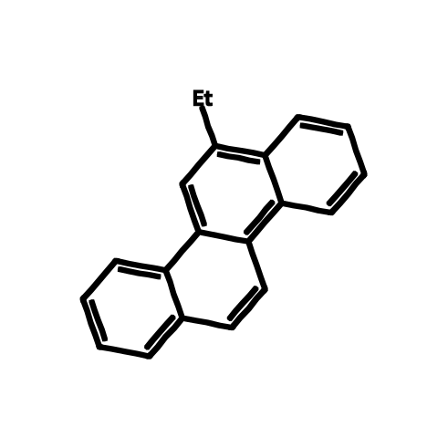 CCc1cc2c3ccccc3ccc2c2ccccc12